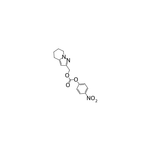 O=C(OCc1cc2n(n1)CCCC2)Oc1ccc([N+](=O)[O-])cc1